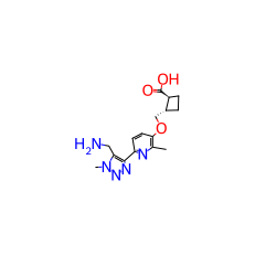 Cc1nc(-c2nnn(C)c2CN)ccc1OC[C@H]1CC[C@@H]1C(=O)O